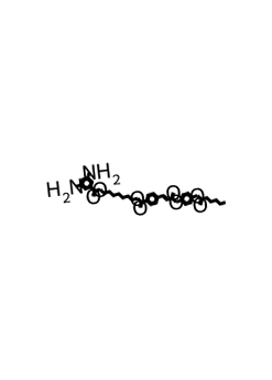 CCCCCC(=O)Oc1ccc(OC(=O)/C=C/c2ccc(C(=O)OCCCCCCCOC(=O)c3cc(N)cc(N)c3)cc2)cc1